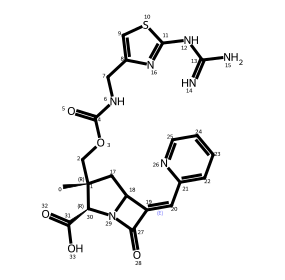 C[C@@]1(COC(=O)NCc2csc(NC(=N)N)n2)CC2/C(=C\c3ccccn3)C(=O)N2[C@H]1C(=O)O